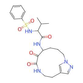 CC(C)C(NS(=O)(=O)c1ccccc1)C(=O)NC1CCCn2cc(cn2)CCNC(=O)C1=O